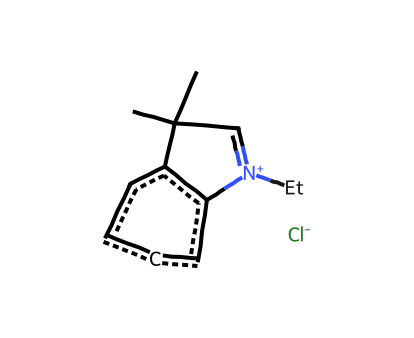 CC[N+]1=CC(C)(C)c2ccccc21.[Cl-]